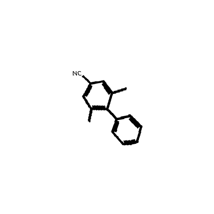 Cc1cc(C#N)cc(C)c1-c1ccccc1